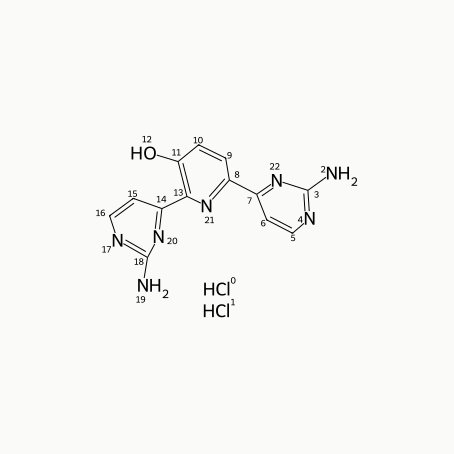 Cl.Cl.Nc1nccc(-c2ccc(O)c(-c3ccnc(N)n3)n2)n1